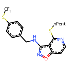 CCCCCSc1nccc2onc(NCc3ccc(SC(F)(F)F)cc3)c12